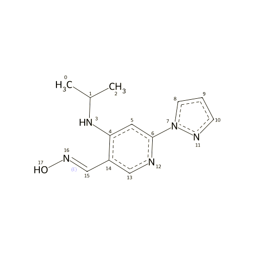 CC(C)Nc1cc(-n2cccn2)ncc1/C=N/O